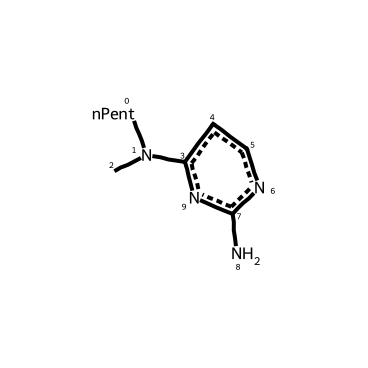 CCCCCN(C)c1ccnc(N)n1